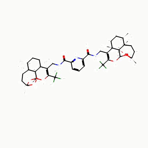 C[C@@H]1CC[C@H]2C(CNC(=O)c3cccc(C(=O)NCC4=C(C(F)(F)F)O[C@@H]5O[C@]6(C)CC[C@H]7[C@H](C)CC[C@@H]4[C@@]57OO6)n3)=C(C(F)(F)F)O[C@@H]3O[C@]4(C)CC[C@@H]1[C@]32OO4